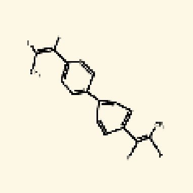 F/C(=C(\F)C(F)(F)F)c1ccc(-c2ccc(/C(F)=C(/F)C(F)(F)F)cc2)cc1